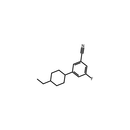 CCC1CCC(c2cc(F)cc(C#N)c2)CC1